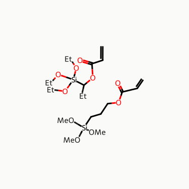 C=CC(=O)OC(CC)[Si](OCC)(OCC)OCC.C=CC(=O)OCCC[Si](OC)(OC)OC